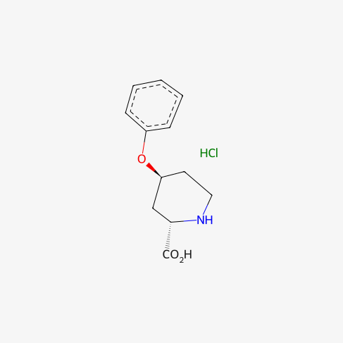 Cl.O=C(O)[C@@H]1C[C@@H](Oc2ccccc2)CCN1